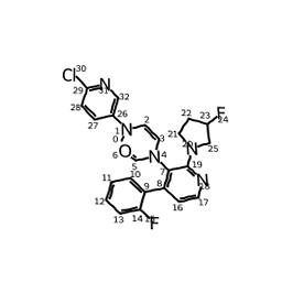 CN(/C=C\N(C=O)c1c(-c2ccccc2F)ccnc1N1CCC(F)C1)c1ccc(Cl)nc1